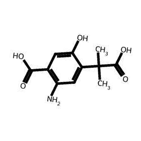 CC(C)(C(=O)O)c1cc(N)c(C(=O)O)cc1O